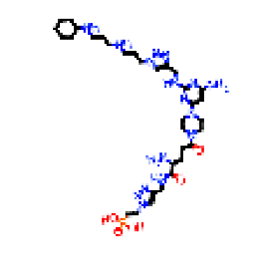 Nc1cc(N2CCN(C(=O)CC[C@H](N)C(=O)NCc3cn(CCP(=O)(O)O)nn3)CC2)nc(NCc2cn(CCCNCCCNC3CCCCC3)nn2)n1